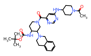 CC(=O)N1CCC(Nc2cc(C(=O)N3CCC(NC(=O)OC(C)(C)C)C(N4CCc5ccccc5C4)C3)ncn2)CC1